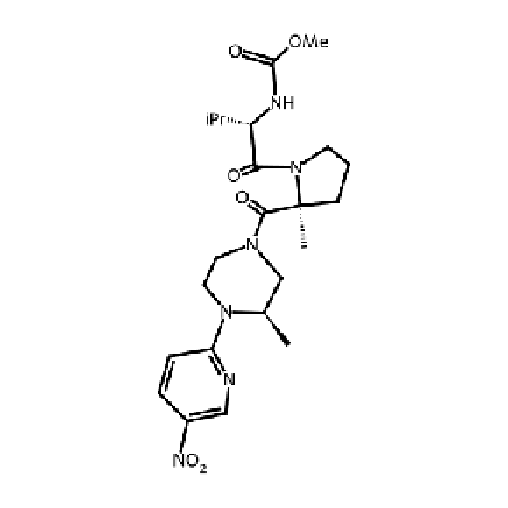 COC(=O)N[C@H](C(=O)N1CCC[C@@]1(C)C(=O)N1CCN(c2ccc([N+](=O)[O-])cn2)[C@H](C)C1)C(C)C